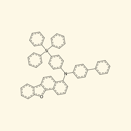 c1ccc(-c2ccc(N(c3ccc([Si](c4ccccc4)(c4ccccc4)c4ccccc4)cc3)c3cccc4c3ccc3c5ccccc5oc43)cc2)cc1